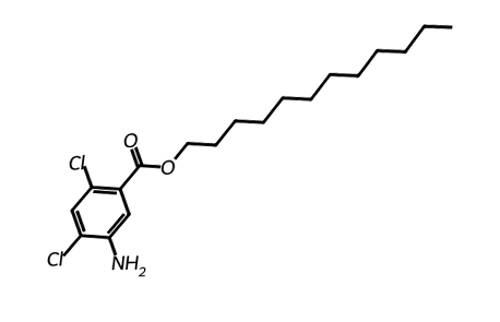 CCCCCCCCCCCCOC(=O)c1cc(N)c(Cl)cc1Cl